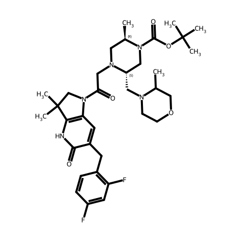 CC1COCCN1C[C@H]1CN(C(=O)OC(C)(C)C)[C@H](C)CN1CC(=O)N1CC(C)(C)c2[nH]c(=O)c(Cc3ccc(F)cc3F)cc21